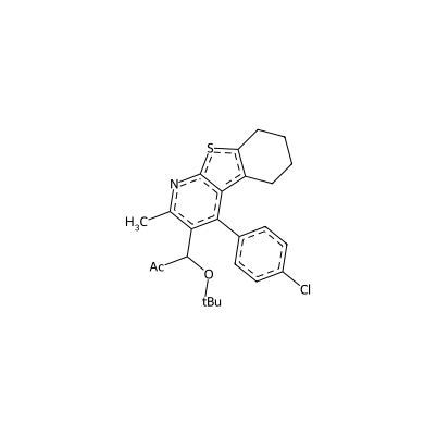 CC(=O)C(OC(C)(C)C)c1c(C)nc2sc3c(c2c1-c1ccc(Cl)cc1)CCCC3